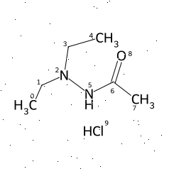 CCN(CC)NC(C)=O.Cl